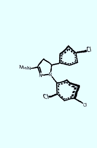 CNC1=NN(c2ccc(Cl)cc2Cl)C(c2ccc(Cl)cc2)C1